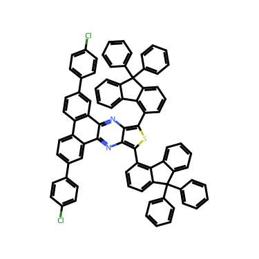 Clc1ccc(-c2ccc3c4ccc(-c5ccc(Cl)cc5)cc4c4nc5c(-c6cccc7c6-c6ccccc6C7(c6ccccc6)c6ccccc6)sc(-c6cccc7c6-c6ccccc6C7(c6ccccc6)c6ccccc6)c5nc4c3c2)cc1